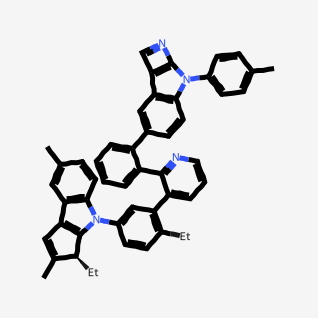 CCc1ccc(-n2c3c(c4cc(C)ccc42)C=C(C)[C@@H]3CC)cc1-c1cccnc1-c1ccccc1-c1ccc2c(c1)c1c(n2-c2ccc(C)cc2)N=C1